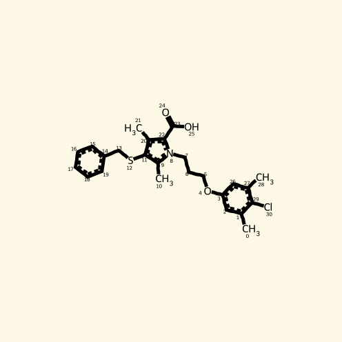 Cc1cc(OCCCn2c(C)c(SCc3ccccc3)c(C)c2C(=O)O)cc(C)c1Cl